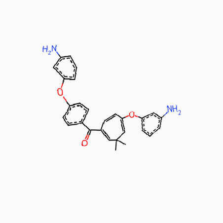 CC1(C)C=C(Oc2cccc(N)c2)C=CC(C(=O)c2ccc(Oc3cccc(N)c3)cc2)=C1